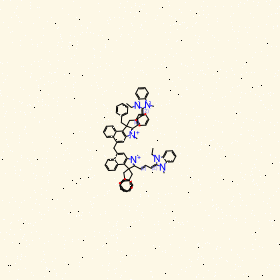 CCN1/C(=C\C=C\C2=[N+](C)c3cc(Cc4cc5c(c6ccccc46)C(Cc4ccccc4)(Cc4ccccc4)C(/C=C/C=C4/N(C)c6ccccc6N4CC)=[N+]5C)c4ccccc4c3C2(Cc2ccccc2)Cc2ccccc2)N(C)c2ccccc21